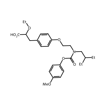 CCOC(Cc1ccc(OCCN(CC(CC)CC)C(=O)Oc2ccc(OC)cc2)cc1)C(=O)O